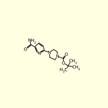 CC(C)(C)OC(=O)N1CCN(c2ccc(C(N)=O)cn2)CC1